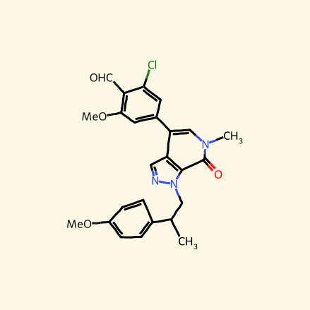 COc1ccc(C(C)Cn2ncc3c(-c4cc(Cl)c(C=O)c(OC)c4)cn(C)c(=O)c32)cc1